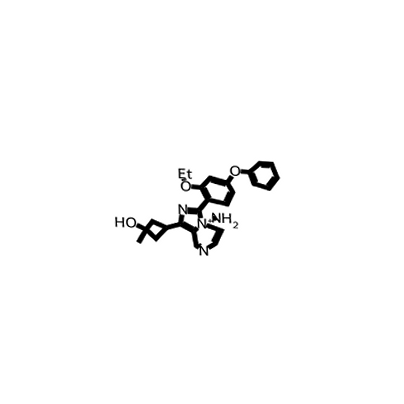 CCOc1cc(Oc2ccccc2)ccc1C1=NC(C2CC(C)(O)C2)=C2C=NC=C[N+]12N